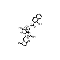 N=C1NC2C(CN3C(=O)CCC3=O)NC(=N)N3CC(NC(=O)c4ccc5ccccc5c4O)C(O)(O)[C@@]23N1